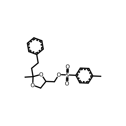 Cc1ccc(S(=O)(=O)OCC2COC(C)(CCc3ccccc3)O2)cc1